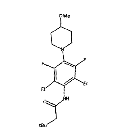 CCc1c(F)c(N2CCC(OC)CC2)c(F)c(CC)c1NC(=O)CC(C)(C)C